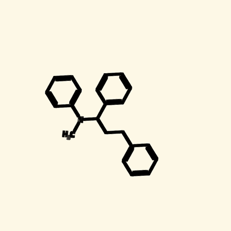 CN(c1ccccc1)C(CCc1ccccc1)c1ccccc1